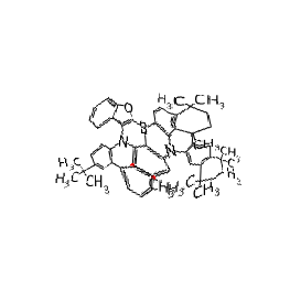 Cc1cc2c3c(c1)N(c1ccc(C(C)(C)C)cc1-c1ccccc1)c1c(oc4ccccc14)B3c1ccc3c4c1N2c1cc2c(cc1C4(C)CCC3(C)C)C(C)(C)CCC2(C)C